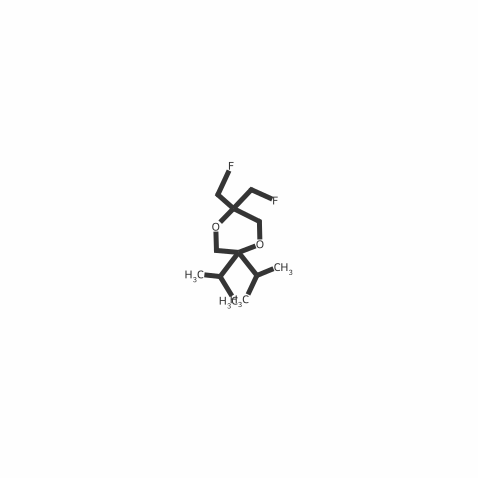 CC(C)C1(C(C)C)COC(CF)(CF)CO1